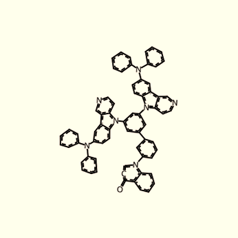 O=c1ccn(-c2cccc(-c3cc(-n4c5ccncc5c5cc(N(c6ccccc6)c6ccccc6)ccc54)cc(-n4c5ccncc5c5cc(N(c6ccccc6)c6ccccc6)ccc54)c3)c2)c2ccccc12